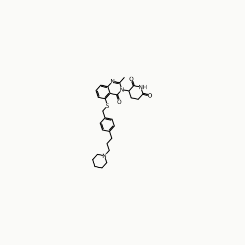 Cc1nc2cccc(SCc3ccc(CCCN4CCCCC4)cc3)c2c(=O)n1C1CCC(=O)NC1=O